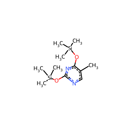 Cc1cnc(O[Si](C)(C)C)nc1O[Si](C)(C)C